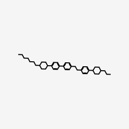 CCCCCCCC1CCC(c2ccc(-c3ccc(CCc4ccc(C5CCC(CCC)CC5)cc4)cc3)cc2)CC1